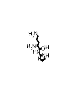 I.NCCC[C@H](N)C(=O)Nc1ncc[nH]1